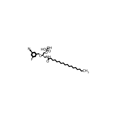 CCCCCCCCCCCCCCCCCC(=O)NC[C@H](COP(=O)(O)O)OCc1cc(F)cc(C#N)c1